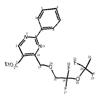 CCOC(=O)c1cnc(-c2ccccc2)nc1COCC(F)(F)OC(C)(F)F